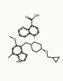 COc1cc(C)c2[nH]ccc2c1CN1CC[C@H](OCC2CC2)C[C@H]1c1ccc(C(=O)O)c2ncccc12